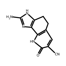 N#Cc1cc2c([nH]c1=O)-c1nc(N)[nH]c1CC2